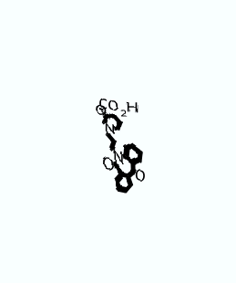 O=C(O)O[C@@H]1CCCN(CCCn2c(=O)c3ccccc3c(=O)c3ccccc32)C1